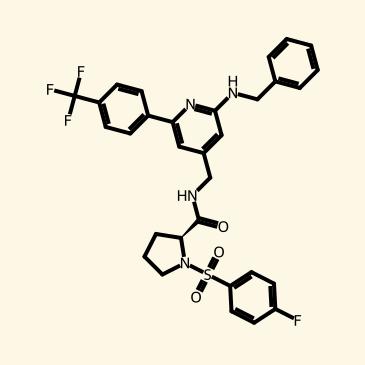 O=C(NCc1cc(NCc2ccccc2)nc(-c2ccc(C(F)(F)F)cc2)c1)[C@@H]1CCCN1S(=O)(=O)c1ccc(F)cc1